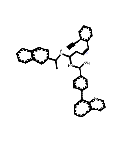 C#Cc1ccccc1/C=C\CC(NC(C)c1ccc2ccccc2c1)NC(NC)c1ccc(-c2cccc3cccnc23)cc1